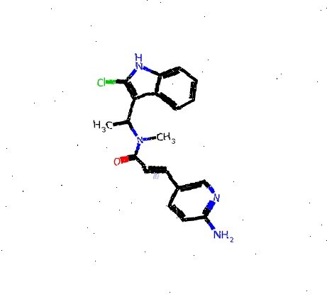 CC(c1c(Cl)[nH]c2ccccc12)N(C)C(=O)/C=C/c1ccc(N)nc1